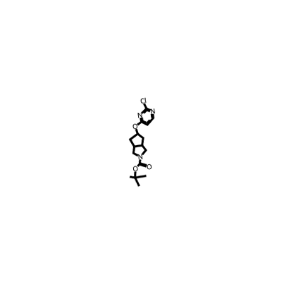 CC(C)(C)OC(=O)N1CC2CC(Oc3ccnc(Cl)n3)CC2C1